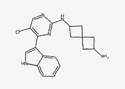 NC1CC2(C1)CC(Nc1ncc(Cl)c(-c3c[nH]c4ccccc34)n1)C2